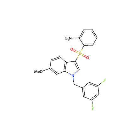 COc1ccc2c(S(=O)(=O)c3ccccc3[N+](=O)[O-])cn(Cc3cc(F)cc(F)c3)c2c1